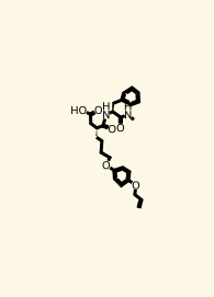 C=CCOc1ccc(OCCCC[C@H](CC(=O)O)C(=O)N[C@@H](Cc2ccccc2)C(=O)NC)cc1